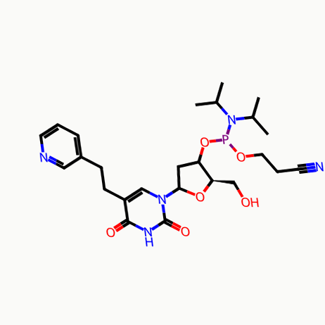 CC(C)N(C(C)C)P(OCCC#N)OC1CC(n2cc(CCc3cccnc3)c(=O)[nH]c2=O)O[C@@H]1CO